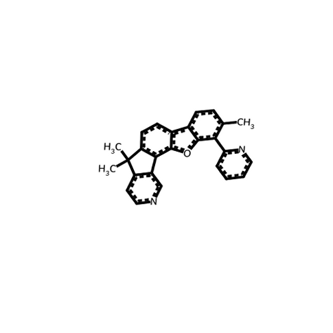 Cc1ccc2c(oc3c4c(ccc32)C(C)(C)c2ccncc2-4)c1-c1ccccn1